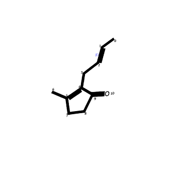 C/C=C/CC1=C(C)[CH]CC1=O